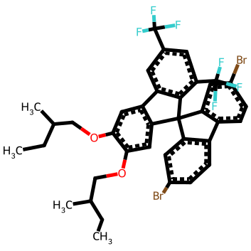 CCC(C)COc1cc2c(cc1OCC(C)CC)C1(c3cc(Br)ccc3-c3ccc(Br)cc31)c1c-2cc(C(F)(F)F)cc1C(F)(F)F